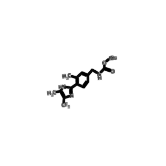 Cc1cc(CNC(=O)OC(C)(C)C)ccc1-c1nc(C(F)(F)F)c(C)[nH]1